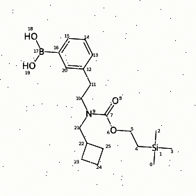 C[Si](C)(C)CCOC(=O)N(CCc1cccc(B(O)O)c1)CC1CCC1